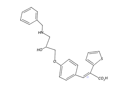 O=C(O)/C(=C/c1ccc(OCC(O)CNCc2ccccc2)cc1)c1cccs1